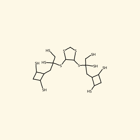 SCC(S)(CC1C(S)CC1S)SC1SCSC1SC(S)(CS)CC1C(S)CC1S